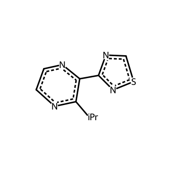 CC(C)c1nccnc1-c1ncsn1